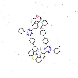 CC1(C)c2ccccc2C2(c3ccccc3Oc3ccccc32)c2ccc(-c3nc(-c4ccccc4)nc(-c4ccc(-c5ccc6c(c5)C(C)(C)c5c(-c7nc(-c8ccccc8)nc(-c8ccc(-c9ccccc9)cc8)n7)cccc5C65c6ccccc6Sc6ccccc65)cc4)n3)cc21